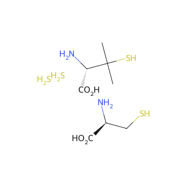 CC(C)(S)[C@@H](N)C(=O)O.N[C@@H](CS)C(=O)O.S.S